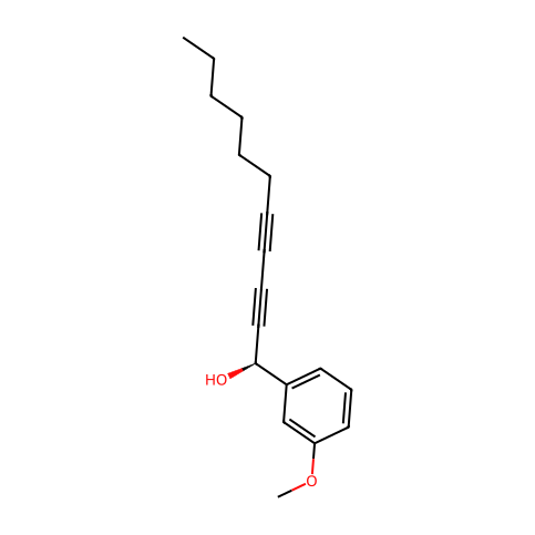 CCCCCCC#CC#C[C@H](O)c1cccc(OC)c1